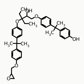 CCC(CC)(Oc1ccc(C(C)(C)c2ccc(OCC3CO3)cc2)cc1)C(O)COc1ccc(C(C)(C)c2ccc(O)cc2)cc1